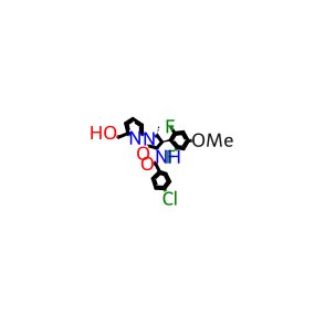 COc1cc(F)c([C@H]2C(NC(=O)c3ccc(Cl)cc3)C(=O)N(c3cccc(CO)n3)[C@@H]2C)c(F)c1